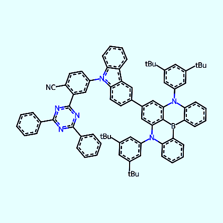 CC(C)(C)c1cc(N2c3ccccc3B3c4ccccc4N(c4cc(C(C)(C)C)cc(C(C)(C)C)c4)c4cc(-c5ccc6c(c5)c5ccccc5n6-c5ccc(C#N)c(-c6nc(-c7ccccc7)nc(-c7ccccc7)n6)c5)cc2c43)cc(C(C)(C)C)c1